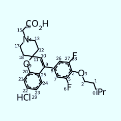 CC(C)CCOc1c(F)cc(C2=CC3(CCN(CC(=O)O)CC3)Oc3ccccc32)cc1F.Cl